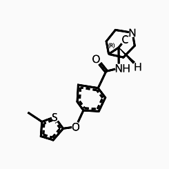 Cc1ccc(Oc2ccc(C(=O)N[C@H]3CN4CCC3CC4)cc2)s1